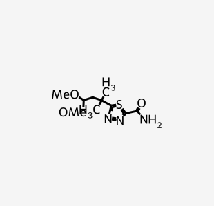 COC(CC(C)(C)c1nnc(C(N)=O)s1)OC